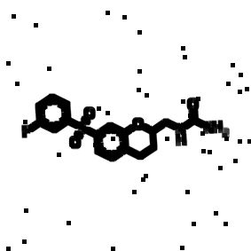 NC(=O)NCC1CCc2ccc(S(=O)(=O)c3cccc(F)c3)cc2O1